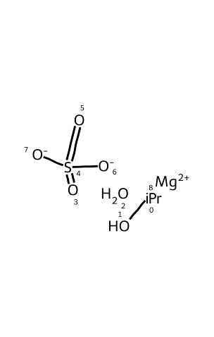 CC(C)O.O.O=S(=O)([O-])[O-].[Mg+2]